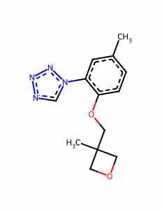 Cc1ccc(OCC2(C)COC2)c(-n2cnnn2)c1